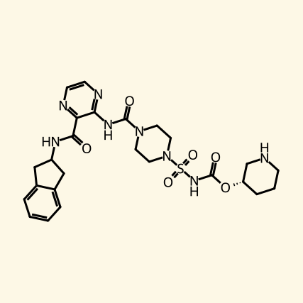 O=C(NS(=O)(=O)N1CCN(C(=O)Nc2nccnc2C(=O)NC2Cc3ccccc3C2)CC1)O[C@H]1CCCNC1